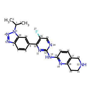 CC(C)n1nnc2ccc(-c3nc(Nc4ccc5c(n4)CCNC5)ncc3F)cc21